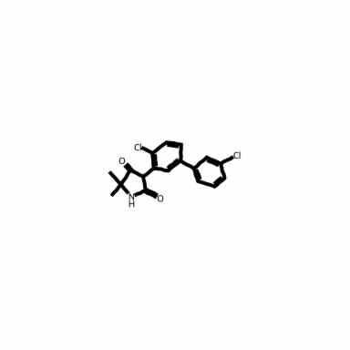 CC1(C)NC(=O)C(c2cc(-c3cccc(Cl)c3)ccc2Cl)C1=O